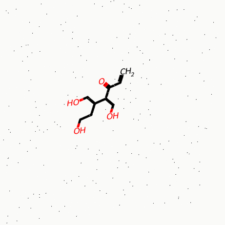 C=CC(=O)C(CO)C(CO)CCO